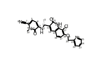 C[C@@H](Nc1ccc(C#N)n(C)c1=O)c1cc2ccc(OCc3ccccn3)c(Cl)c2[nH]c1=O